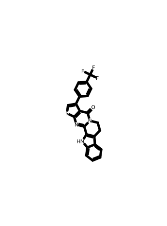 O=c1c2c(-c3ccc(C(F)(F)F)cc3)csc2nc2n1CCc1c-2[nH]c2ccccc12